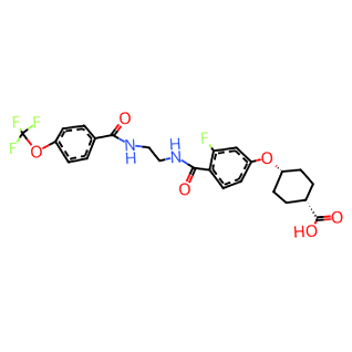 O=C(NCCNC(=O)c1ccc(O[C@H]2CC[C@@H](C(=O)O)CC2)cc1F)c1ccc(OC(F)(F)F)cc1